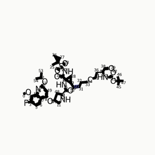 COc1c(F)ccc2c(O[C@H]3CN[C@H](C(=O)N[C@]4(C(=O)NS(=O)(=O)C5(C)CC5)CC4/C=C\CCCCC[C@@H](C=O)NC(=O)OC(C)(C)C)C3)cc(OC(C)C)nc12